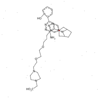 Nc1nnc(-c2ccccc2O)cc1N1CC2CCC(C1)N2c1ccnc(CCCOCCOCCN2CCN(CC(=O)O)CC2)c1